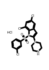 Cl.O=S(=O)(c1cccc(Cl)c1)n1c(N2CCNCC2)cc2cc(Cl)cc(Cl)c21